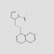 NC(=O)c1occc1CCc1cccc2ccc(O)cc12